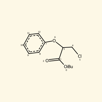 CC(C)COC(=O)C(CCl)Oc1ccccc1